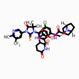 CCc1cc(N2C(=S)N(c3cnc(C#N)c(C(F)(F)F)c3)C(=O)C2(C)C)ccc1OCC[C@@H]1C[C@H]2CC[C@@H](C1)N2CC(=O)Nc1cc(Cl)cc(NC2CCC(=O)NC2=O)c1